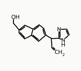 C=CC(c1ccc2cc(CO)ccc2c1)c1ncc[nH]1